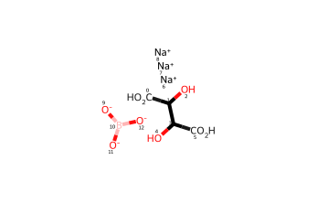 O=C(O)C(O)C(O)C(=O)O.[Na+].[Na+].[Na+].[O-]B([O-])[O-]